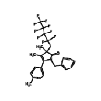 CC1=C(c2ccc(C)cc2)N(Cc2ccccc2)C(=O)C1(C)CC(F)(F)C(F)(F)C(F)(F)C(F)(F)F